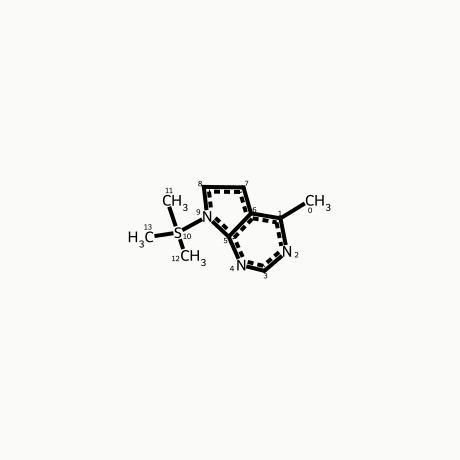 Cc1ncnc2c1ccn2S(C)(C)C